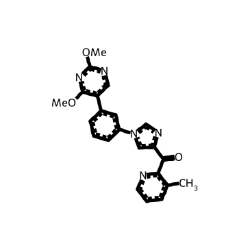 COc1ncc(-c2cccc(-n3cnc(C(=O)c4ncccc4C)c3)c2)c(OC)n1